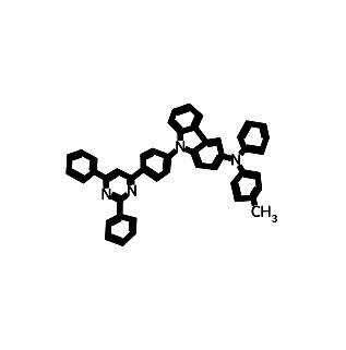 Cc1ccc(N(c2ccccc2)c2ccc3c(c2)c2ccccc2n3-c2ccc(-c3cc(-c4ccccc4)nc(-c4ccccc4)n3)cc2)cc1